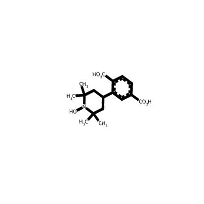 CC1(C)CC(c2cc(C(=O)O)ccc2C(=O)O)CC(C)(C)N1O